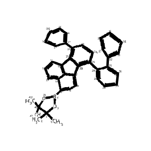 CC1(C)OB(c2ccc3c4c(cccc24)-c2c(-c4ccccc4)ccc(-c4ccccc4-c4ccccc4)c2-3)OC1(C)C